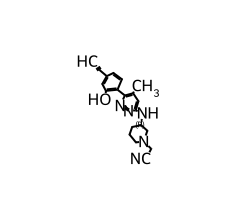 C#Cc1ccc(-c2nnc(N[C@@H]3CCCN(CC#N)C3)cc2C)c(O)c1